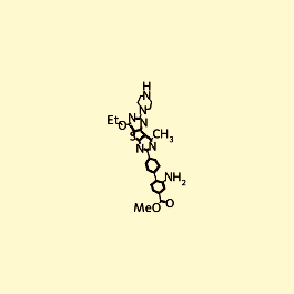 CCOc1nc(N2CCNCC2)nc2c1sc1nc(-c3ccc(-c4ccc(C(=O)OC)cc4N)cc3)nc(C)c12